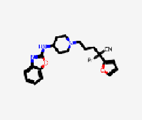 CC(C)C(C#N)(CCCN1CCC(Nc2nc3ccccc3o2)CC1)c1ccco1